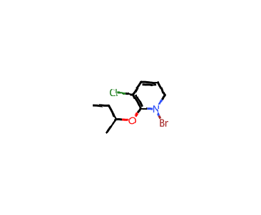 CCC(C)OC1=C(Cl)C=CCN1Br